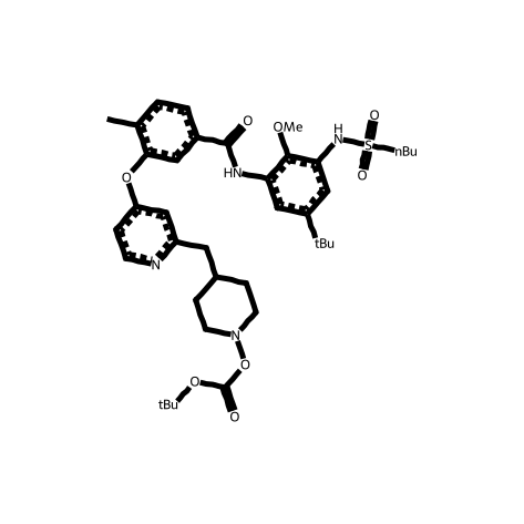 CCCCS(=O)(=O)Nc1cc(C(C)(C)C)cc(NC(=O)c2ccc(C)c(Oc3ccnc(CC4CCN(OC(=O)OC(C)(C)C)CC4)c3)c2)c1OC